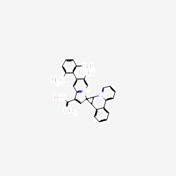 C=C(O)C1=CC2(C3c4ccccc4-c4cccc[n+]4C32)[n+]2cc(C(C)(C)C)c(-c3c(C)cccc3C)cc21